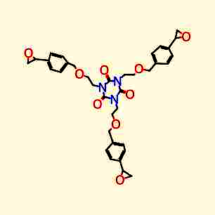 O=c1n(CCOCc2ccc(C3CO3)cc2)c(=O)n(CCOCc2ccc(C3CO3)cc2)c(=O)n1CCOCc1ccc(C2CO2)cc1